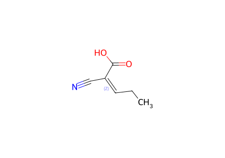 CC/C=C(/C#N)C(=O)O